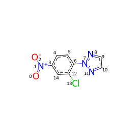 O=[N+]([O-])c1ccc(-n2nccn2)c(Cl)c1